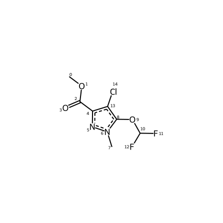 COC(=O)c1nn(C)c(OC(F)F)c1Cl